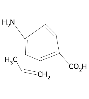 C=CC.Nc1ccc(C(=O)O)cc1